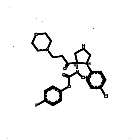 CN(C(=O)Oc1ccc(F)cc1)[C@]1(C(=O)CCN2CCOCC2)CNC[C@H]1c1ccc(Cl)cc1